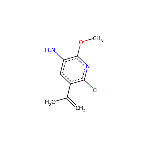 C=C(C)c1cc(N)c(OC)nc1Cl